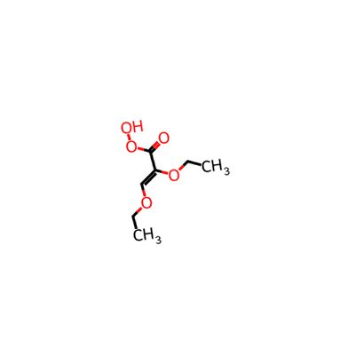 CCOC=C(OCC)C(=O)OO